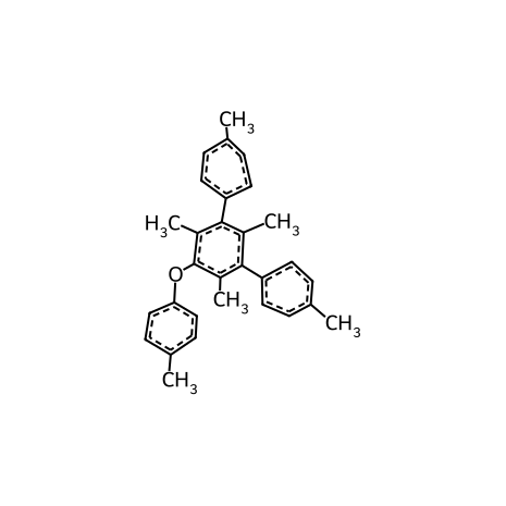 Cc1ccc(Oc2c(C)c(-c3ccc(C)cc3)c(C)c(-c3ccc(C)cc3)c2C)cc1